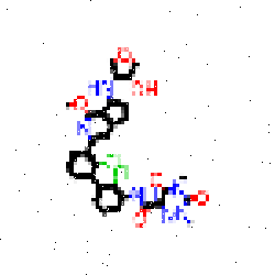 COc1nc(-c2cccc(-c3cccc(NC(=O)c4nn(C)c(=O)n(C)c4=O)c3Cl)c2Cl)cc2c1C(N[C@@H]1COC[C@H]1O)CC2